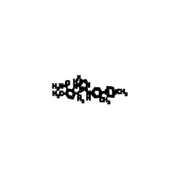 Cc1cc(Nc2ncc(F)c(N[C@H]3[C@@H](C(N)=O)[C@H](C)C=C[C@@H]3C)n2)ccc1N1CCN(C)CC1